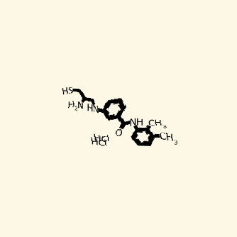 Cc1cccc(NC(=O)c2cccc(NCC(N)CS)c2)c1C.Cl.Cl